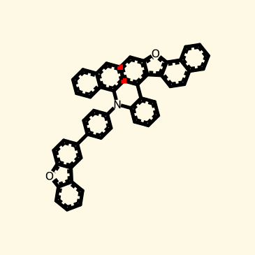 c1ccc(N(c2ccc(-c3ccc4oc5ccccc5c4c3)cc2)c2cccc3ccccc23)c(-c2cccc3oc4c5ccccc5ccc4c23)c1